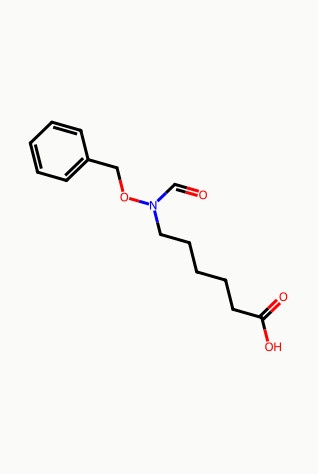 O=CN(CCCCCC(=O)O)OCc1ccccc1